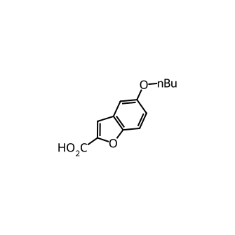 CCCCOc1ccc2oc(C(=O)O)cc2c1